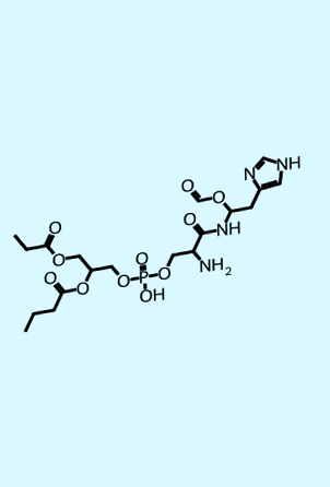 CCCC(=O)OC(COC(=O)CC)COP(=O)(O)OCC(N)C(=O)NC(Cc1c[nH]cn1)OC=O